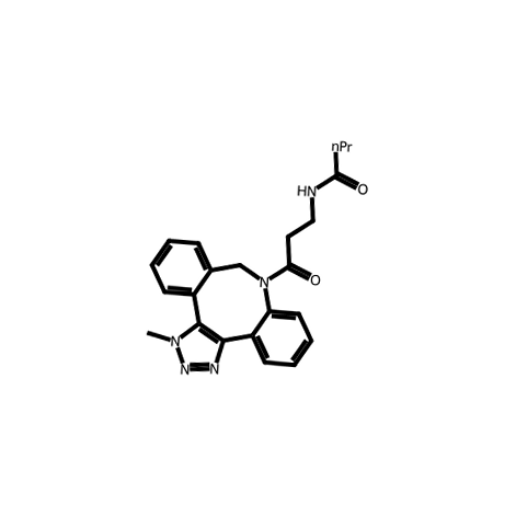 CCCC(=O)NCCC(=O)N1Cc2ccccc2-c2c(nnn2C)-c2ccccc21